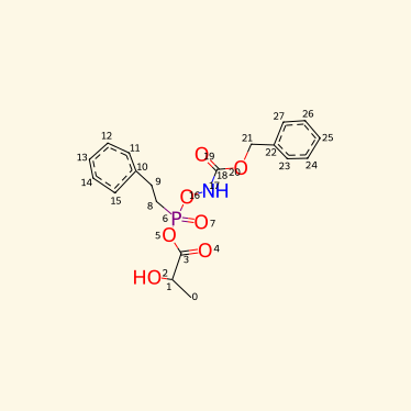 CC(O)C(=O)OP(=O)(CCc1ccccc1)ONC(=O)OCc1ccccc1